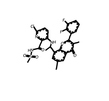 Cc1cc(C(C)Nc2ccc(Cl)nc2C(=O)NS(C)(=O)=O)c2oc(-c3cccc(F)c3F)c(C)c(=O)c2c1